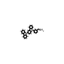 NCc1cccc(-n2c3ccccc3c3cc(-n4c5ccccc5c5ccccc54)ccc32)c1